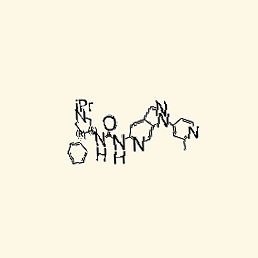 Cc1cc(-n2ncc3cc(NC(=O)N[C@@H]4CN(C(C)C)C[C@H]4c4ccccc4)ncc32)ccn1